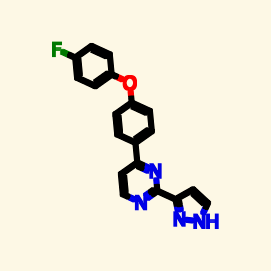 Fc1ccc(Oc2ccc(-c3ccnc(-c4cc[nH]n4)n3)cc2)cc1